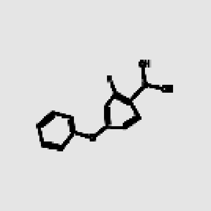 OB(O)c1ccc(Oc2ccccc2)cc1F